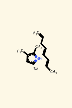 C=CCC=CC=CC.Cc1cc[nH]c1C.[Ru]